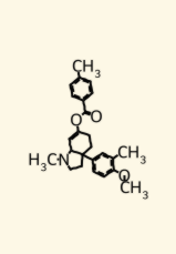 COc1ccc(C23CCC(OC(=O)c4ccc(C)cc4)=CC2N(C)CC3)cc1C